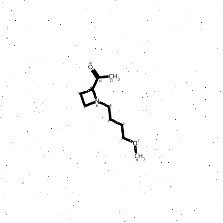 COCCCCN1CCC1C(C)=O